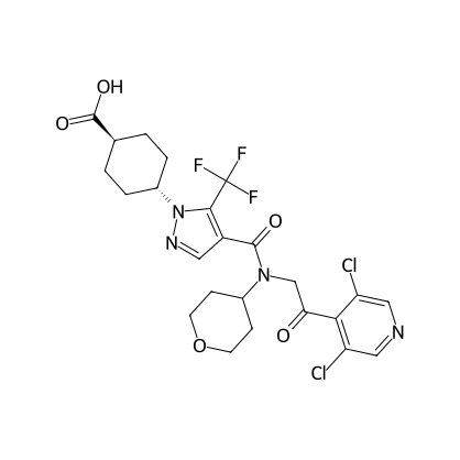 O=C(CN(C(=O)c1cnn([C@H]2CC[C@H](C(=O)O)CC2)c1C(F)(F)F)C1CCOCC1)c1c(Cl)cncc1Cl